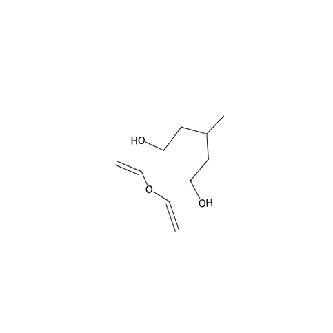 C=COC=C.CC(CCO)CCO